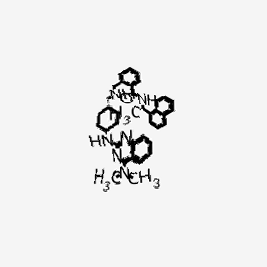 C[C@H](NC(=O)c1ccccc1CNC[C@H]1CC[C@@H](Nc2nc(N(C)C)c3ccccc3n2)CC1)c1cccc2ccccc12